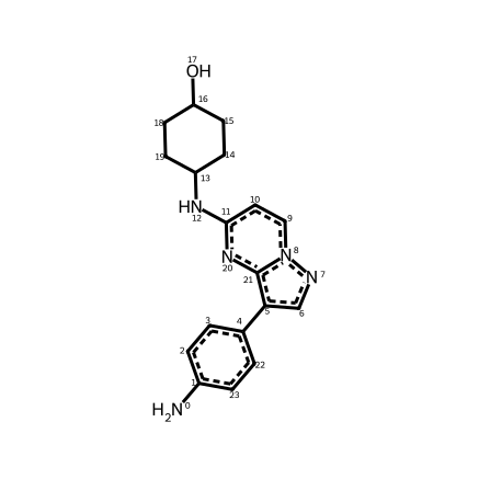 Nc1ccc(-c2cnn3ccc(NC4CCC(O)CC4)nc23)cc1